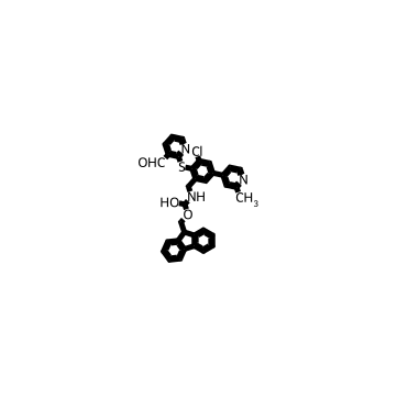 Cc1cc(-c2cc(Cl)c(Sc3ncccc3C=O)c(CNC(O)OCC3c4ccccc4-c4ccccc43)c2)ccn1